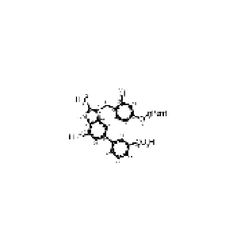 CCCCCOc1ccc(Cn2c(C)nc3c(C)cc(-c4cccc(C(=O)O)c4)cc32)c(Cl)c1